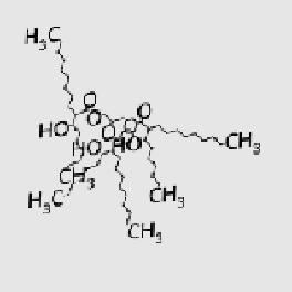 CCCCCCCCCC(C(=O)OCC(COC(=O)C(CCCCCCCCC)C(O)CCCCCC)OC(=O)C(CCCCCCCCC)C(O)CCCCCC)C(O)CCCCCC